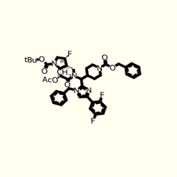 CC(=O)O[C@H](C)C(=O)N(C[C@@H]1CN(C(=O)OC(C)(C)C)C[C@@H]1F)C(c1nc(-c2cc(F)ccc2F)cn1Cc1ccccc1)C1CCN(C(=O)OCc2ccccc2)CC1